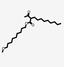 CCCCCCCCCC(C(C)=O)C(=O)OCCCCCCCCCOC